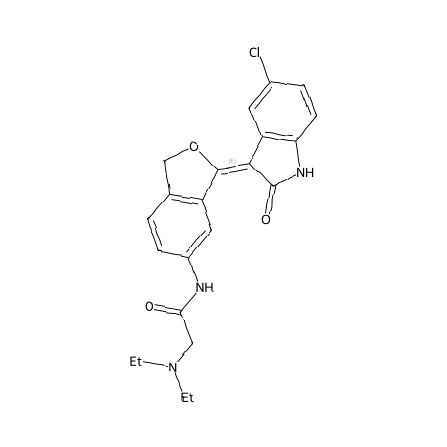 CCN(CC)CC(=O)Nc1ccc2c(c1)/C(=C1\C(=O)Nc3ccc(Cl)cc31)OC2